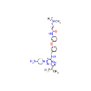 CC(C)c1cnn2c(NCc3cccc(Oc4cccc(NC(=O)/C=C/CN(C)C)c4)c3)nc(N3CCC(N)CC3)nc12